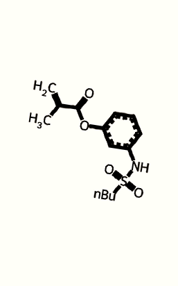 C=C(C)C(=O)Oc1cccc(NS(=O)(=O)CCCC)c1